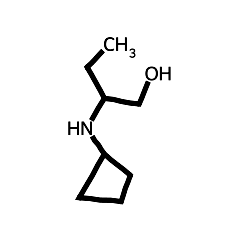 CCC(CO)NC1CCC1